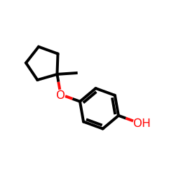 CC1(Oc2ccc(O)cc2)CCCC1